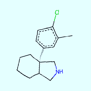 Cc1cc([C@@]23CCCCC2CNC3)ccc1Cl